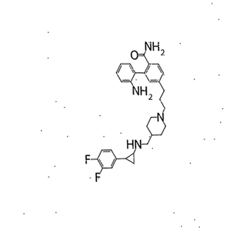 NC(=O)c1ccc(CCCN2CCC(CNC3CC3c3ccc(F)c(F)c3)CC2)cc1-c1ccccc1N